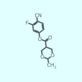 CC1OCC(C(=O)Oc2ccc(C#N)c(F)c2)CO1